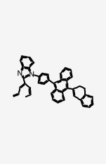 C=C/C=C(\C=C/C)c1nc2ccccc2n1-c1ccc(-c2c3ccccc3c(C3=Cc4ccccc4CC3)c3ccccc23)cc1